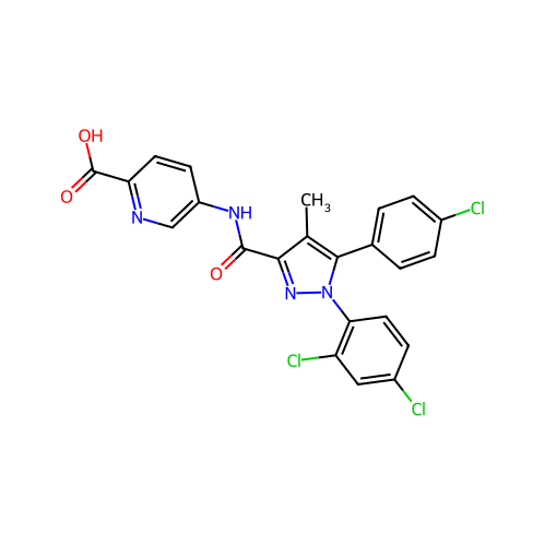 Cc1c(C(=O)Nc2ccc(C(=O)O)nc2)nn(-c2ccc(Cl)cc2Cl)c1-c1ccc(Cl)cc1